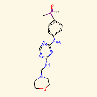 CP(C)(=O)c1ccc(Nc2ncnc(NCN3CCOCC3)n2)cc1